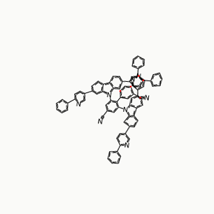 N#Cc1cccc(-c2c(-n3c4cc(-c5ccc(-c6ccccc6)nc5)ccc4c4ccc(-c5ccc(-c6ccccc6)nc5)cc43)cc(C#N)cc2-n2c3cc(-c4ccc(-c5ccccc5)nc4)ccc3c3ccc(-c4ccc(-c5ccccc5)nc4)cc32)c1